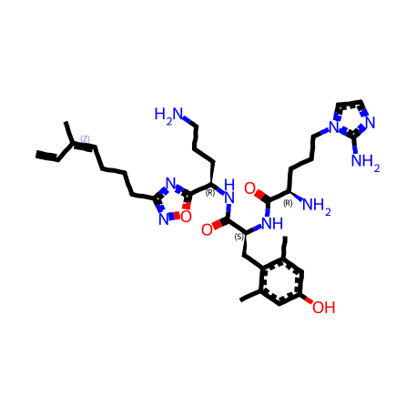 C=C/C(C)=C\CCCc1noc([C@@H](CCCN)NC(=O)[C@H](Cc2c(C)cc(O)cc2C)NC(=O)[C@H](N)CCCn2ccnc2N)n1